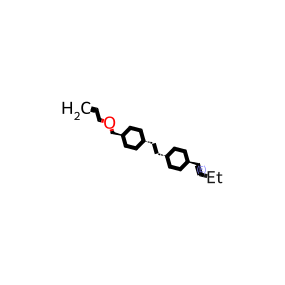 C=CCOC[C@H]1CC[C@H](CC[C@H]2CC[C@H](/C=C/CC)CC2)CC1